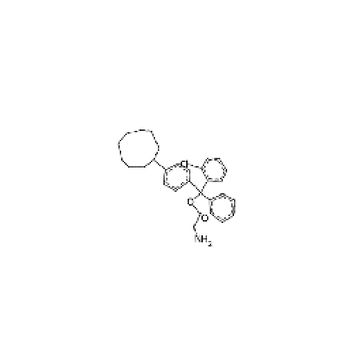 NCC(=O)OC(c1ccccc1)(c1ccc(C2CCCCCCCC2)cc1)c1ccccc1Cl